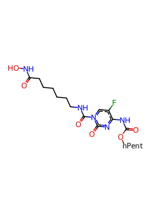 CCCCCOC(=O)Nc1nc(=O)n(C(=O)NCCCCCCC(=O)NO)cc1F